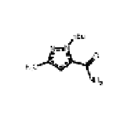 CCCCn1nc(C(F)(F)F)cc1C(N)=O